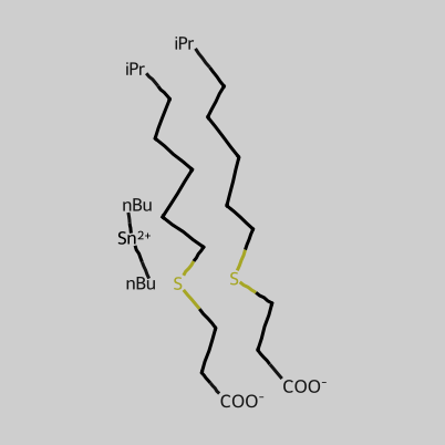 CC(C)CCCCCSCCC(=O)[O-].CC(C)CCCCCSCCC(=O)[O-].CCC[CH2][Sn+2][CH2]CCC